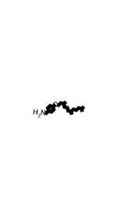 CC(C)CCCC(C)CCCC(C)CCOc1ccc(CN)cc1